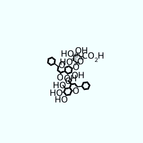 O=C(O)[C@H]1O[C@H](Oc2cc3oc(-c4ccccc4)cc(=O)c3c(O)c2O)[C@H](O)[C@@H](O)[C@@H]1O.O=c1cc(-c2ccccc2)oc2cc(O)c(O)c(O)c12